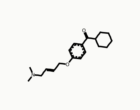 CN(C)CC=CCOc1ccc(C(=O)C2CCCCC2)cc1